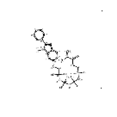 C=C(C)C(=O)OCC(F)(F)OC(F)(F)OC(F)(F)OC(F)(F)COc1ccc2cc(-c3ccccc3)n(CC)c2c1